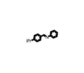 CC(C)c1ccc(C=Nc2ccccc2)cc1